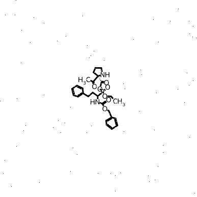 CCOP(=O)(OC(=O)[C@]1(C(C)=O)CCCN1)C(CCc1ccccc1)NC(=O)OCc1ccccc1